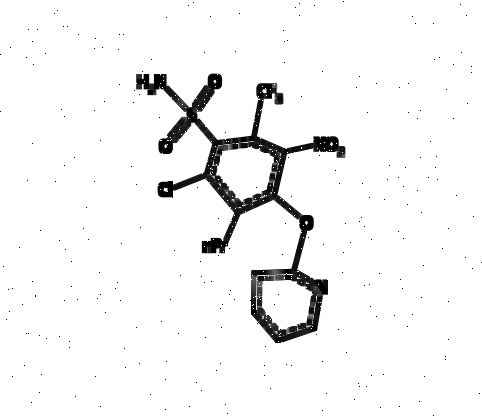 CCCc1c(Cl)c(S(N)(=O)=O)c(C(F)(F)F)c([N+](=O)[O-])c1Oc1ccccn1